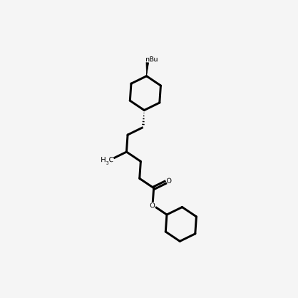 CCCC[C@H]1CC[C@H](CCC(C)CCC(=O)OC2CCCCC2)CC1